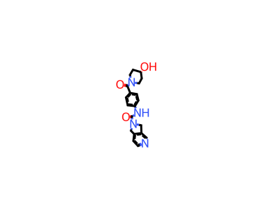 O=C(Nc1ccc(C(=O)N2CCC(O)CC2)cc1)N1Cc2ccncc2C1